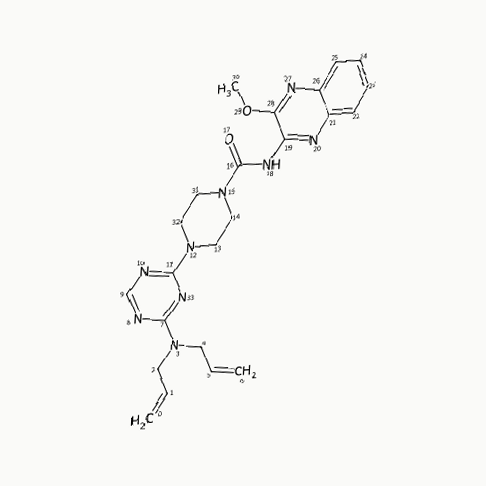 C=CCN(CC=C)c1ncnc(N2CCN(C(=O)Nc3nc4ccccc4nc3OC)CC2)n1